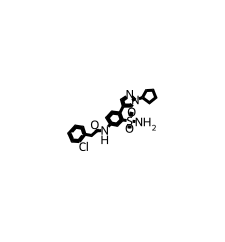 NS(=O)(=O)c1cc(NC(=O)Cc2ccccc2Cl)ccc1-c1cnn(C2CCCC2)c1